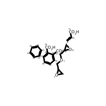 C(OCC1CO1)C1CO1.C=CC(=O)O.O=C(O)c1ccccc1C(=O)O.c1ccccc1